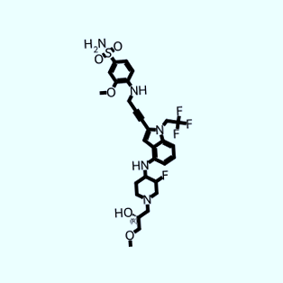 COC[C@H](O)CN1CCC(Nc2cccc3c2cc(C#CCNc2ccc(S(N)(=O)=O)cc2OC)n3CC(F)(F)F)C(F)C1